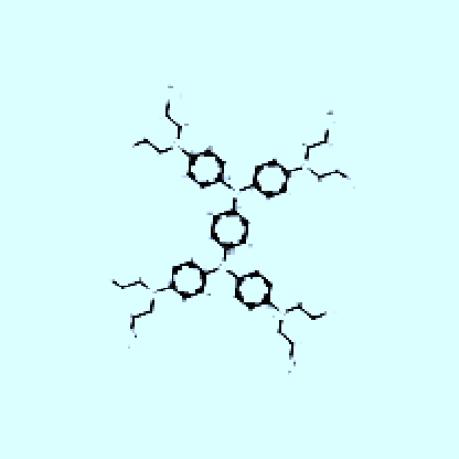 OCCN(CCO)c1ccc(N(c2ccc(N(CCO)CCO)cc2)c2ccc(N(c3ccc(N(CCO)CCO)cc3)c3ccc(N(CCO)CCO)cc3)cc2)cc1